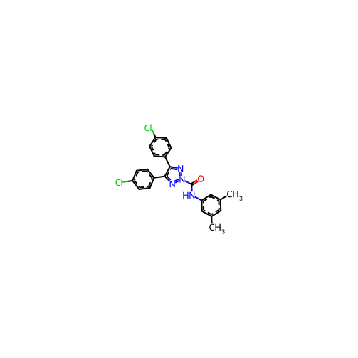 Cc1cc(C)cc(NC(=O)n2nc(-c3ccc(Cl)cc3)c(-c3ccc(Cl)cc3)n2)c1